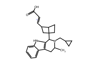 CC1Cc2c([nH]c3ccccc23)C(C23CCC2C(/C=C/C(=O)O)C3)N1CC1CC1